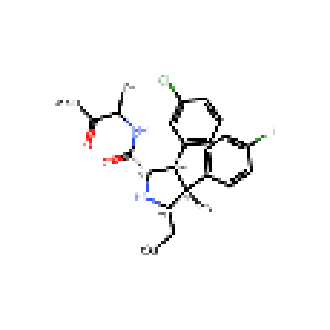 COC(=O)C(NC(=O)[C@H]1N[C@H](CC(C)(C)C)[C@@](C#N)(c2ccc(Cl)cc2)[C@@H]1c1cccc(Cl)c1)C(C)C